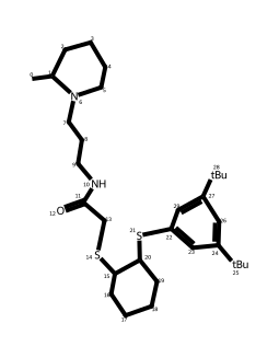 CC1CCCCN1CCCNC(=O)CSC1CCCCC1Sc1cc(C(C)(C)C)cc(C(C)(C)C)c1